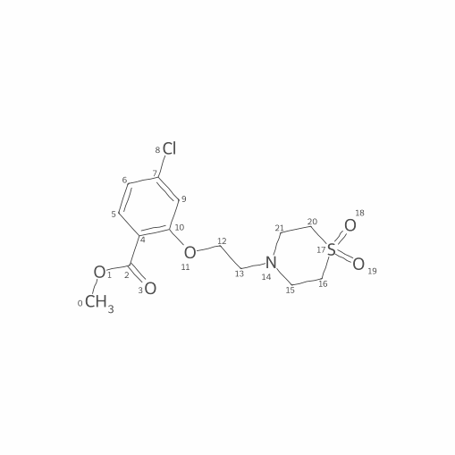 COC(=O)c1ccc(Cl)cc1OCCN1CCS(=O)(=O)CC1